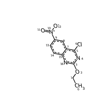 CCOc1nc(Cl)c2cc([N+](=O)[O-])ccc2n1